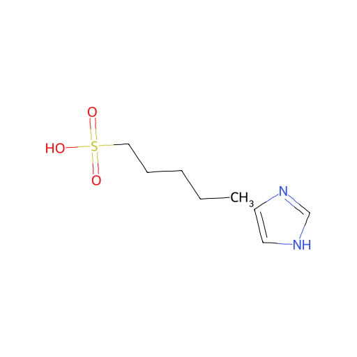 CCCCCS(=O)(=O)O.c1c[nH]cn1